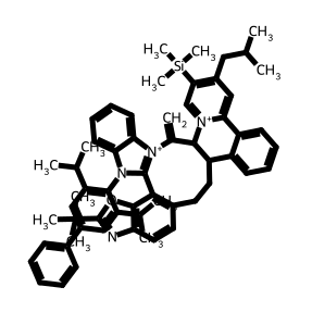 C=C1C2C(CCc3ccc4nc(C(C)(C)C)oc4c3-c3n(-c4c(C(C)C)cc(-c5ccccc5)cc4C(C)C)c4ccccc4[n+]31)c1ccccc1-c1cc(CC(C)C)c([Si](C)(C)C)c[n+]12